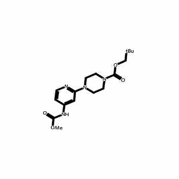 COC(=O)Nc1ccnc(N2CCN(C(=O)OCC(C)(C)C)CC2)c1